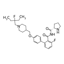 CCC(F)(CC)CN1CCC(COc2ccc(-c3cccc(F)c3C(=O)NC(=O)[C@@H]3CCCN3)cc2)CC1